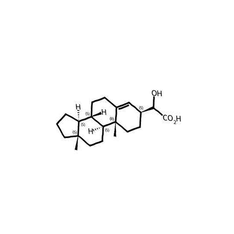 C[C@@]12CCC[C@H]1[C@@H]1CCC3=C[C@@H](C(O)C(=O)O)CC[C@]3(C)[C@H]1CC2